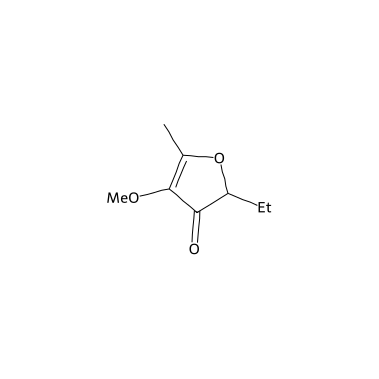 CCC1OC(C)=C(OC)C1=O